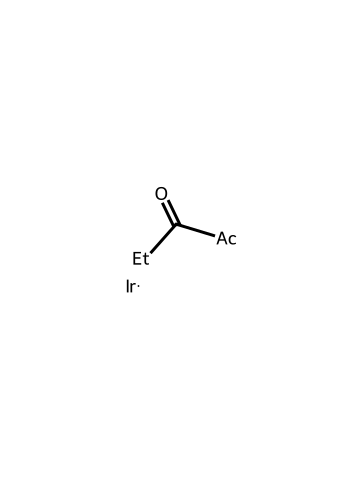 CCC(=O)C(C)=O.[Ir]